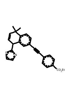 CCOC(=O)c1ccc(C#Cc2ccc3c(c2)C(c2nccs2)C=CC3(C)C)cc1